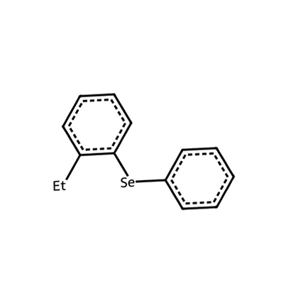 CCc1ccccc1[Se]c1ccccc1